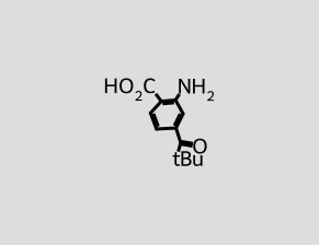 CC(C)(C)C(=O)c1ccc(C(=O)O)c(N)c1